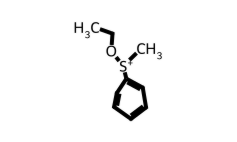 CCO[S+](C)c1ccccc1